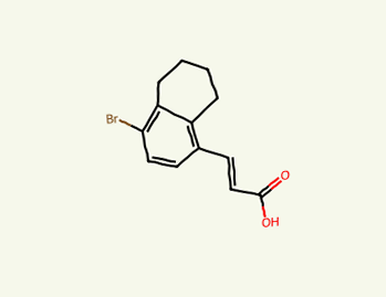 O=C(O)C=Cc1ccc(Br)c2c1CCCC2